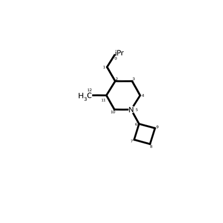 CC(C)CC1CCN(C2CCC2)CC1C